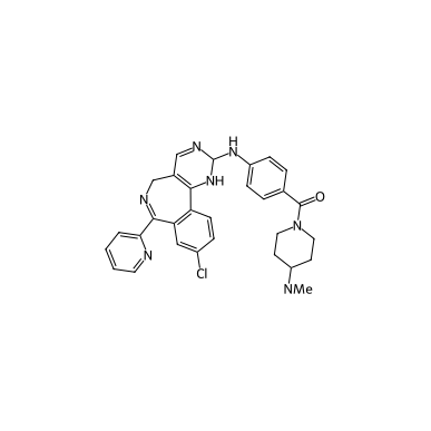 CNC1CCN(C(=O)c2ccc(NC3N=CC4=C(N3)c3ccc(Cl)cc3C(c3ccccn3)=NC4)cc2)CC1